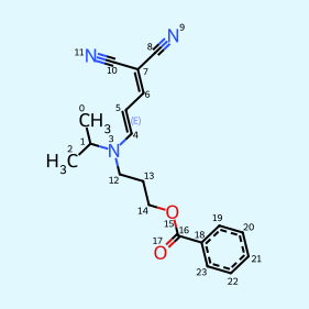 CC(C)N(/C=C/C=C(C#N)C#N)CCCOC(=O)c1ccccc1